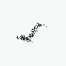 CCOC(=O)C1CCN(c2cccc(Sc3cnc(N4CCC(C)(CNC(=O)OC(C)(C)C)CC4)cn3)c2Cl)CC1